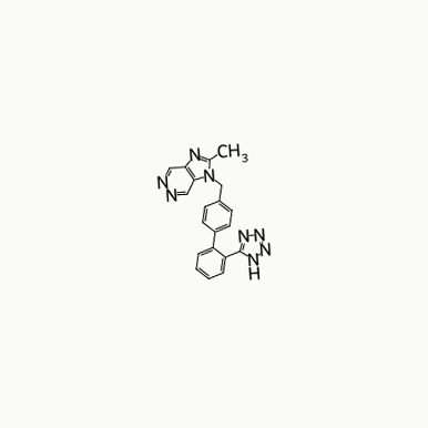 Cc1nc2cnncc2n1Cc1ccc(-c2ccccc2-c2nnn[nH]2)cc1